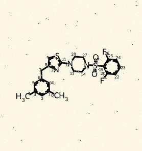 Cc1cc(C)cc(Cc2csc(N3CCN(S(=O)(=O)c4c(F)cccc4F)CC3)n2)c1